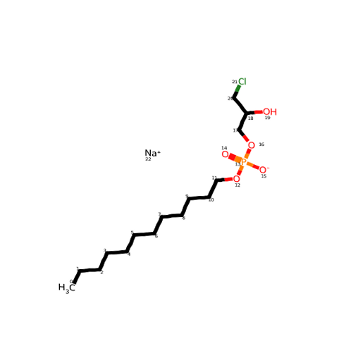 CCCCCCCCCCCCOP(=O)([O-])OCC(O)CCl.[Na+]